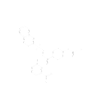 C=C([C@H](Cc1cccc(C(=N)N)c1)NS(=O)(=O)c1ccc2ccccc2c1)N1CCC(CC(=O)OC)CC1